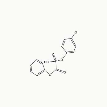 O=C(Oc1ccccc1)P(=O)(O)Oc1ccc(Cl)cc1